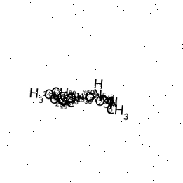 Cc1ncc(CC(=O)N[C@H]2CC[C@H](CCN3CCc4ccc(OC(C)C)nc4CC3)CC2)s1